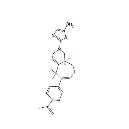 Bc1cnc(N2CC=C3C(C)(C)C(c4ccc(C(=C)C)cc4)=CCC[C@]3(C)C2)s1